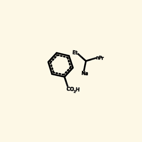 CCC[CH]([Na])CC.O=C(O)c1ccccc1